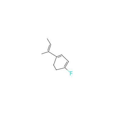 C/C=C(\C)C1=CC=C(F)CC1